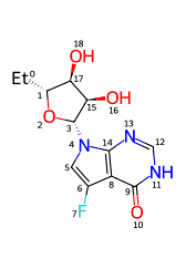 CC[C@H]1O[C@@H](n2cc(F)c3c(=O)[nH]cnc32)[C@H](O)[C@@H]1O